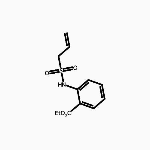 C=CCS(=O)(=O)Nc1ccccc1C(=O)OCC